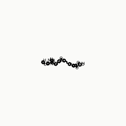 Nc1ncnc2c1c(-c1ccc(Oc3ccccc3)cc1)nn2[C@@H]1CCCN(C2CCN(C(=O)N3CCC(CCC4CCN(c5ccc6c(c5)CN(C5CCC(=O)NC5=O)C6=O)CC4)CC3)CC2)C1